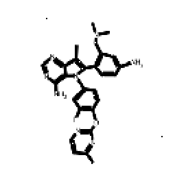 Cc1ccnc(Oc2ccc(-n3c(-c4ccc(N)cc4CN(C)C)c(C)c4ncnc(N)c43)cc2F)n1